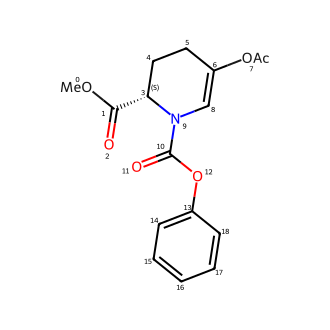 COC(=O)[C@@H]1CCC(OC(C)=O)=CN1C(=O)Oc1ccccc1